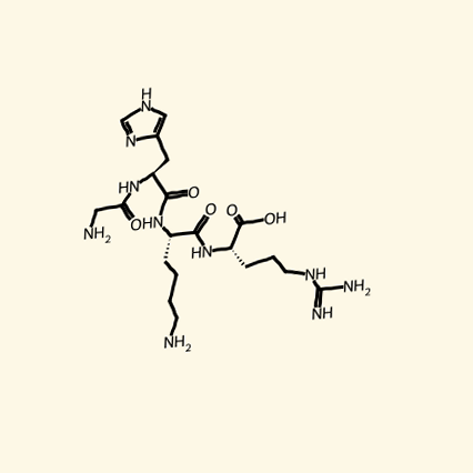 N=C(N)NCCC[C@H](NC(=O)[C@H](CCCCN)NC(=O)[C@H](Cc1c[nH]cn1)NC(=O)CN)C(=O)O